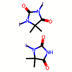 CC1(C)C(=O)N(I)C(=O)N1I.CC1(C)C(=O)NC(=O)N1I